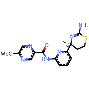 COc1cnc(C(=O)Nc2cccc([C@]3(C)CCSC(N)=N3)n2)cn1